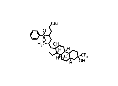 C[C@H](CC(CCC(C)(C)C)S(=O)(=O)c1ccccc1)[C@H]1CC[C@H]2[C@@H]3CC[C@H]4C[C@](O)(C(F)(F)F)CC[C@]4(C)[C@H]3CC[C@]12C